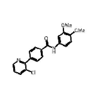 COc1ccc(NC(=O)c2ccc(-c3ncccc3Cl)cc2)cc1OC